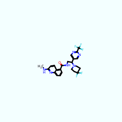 CNc1ccc2c(C(=O)NCC(c3cnc(C(F)(F)F)nc3)N3CCC(F)(F)CC3)cccc2n1